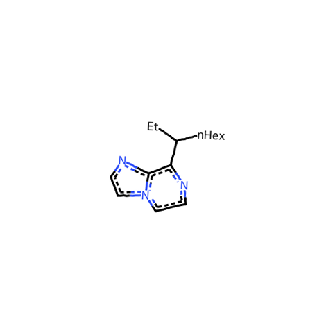 CCCCCCC(CC)c1nccn2ccnc12